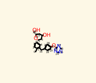 Cc1ccc([C@H]2C[C@@H](O)C[C@@H](CO)O2)cc1Cc1ccc(Oc2ncncn2)cc1